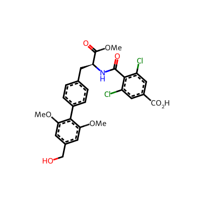 COC(=O)[C@H](Cc1ccc(-c2c(OC)cc(CO)cc2OC)cc1)NC(=O)c1c(Cl)cc(C(=O)O)cc1Cl